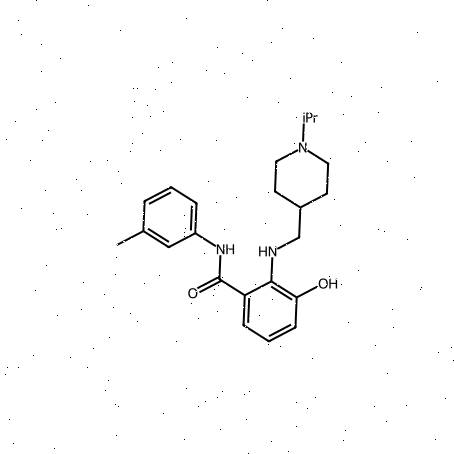 Cc1cccc(NC(=O)c2cccc(O)c2NCC2CCN(C(C)C)CC2)c1